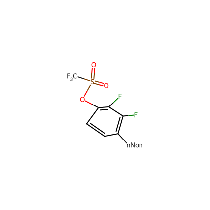 CCCCCCCCCc1ccc(OS(=O)(=O)C(F)(F)F)c(F)c1F